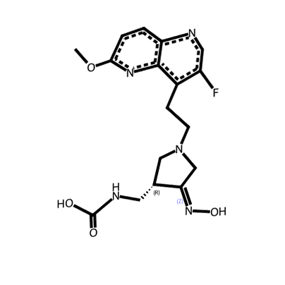 COc1ccc2ncc(F)c(CCN3C/C(=N\O)[C@H](CNC(=O)O)C3)c2n1